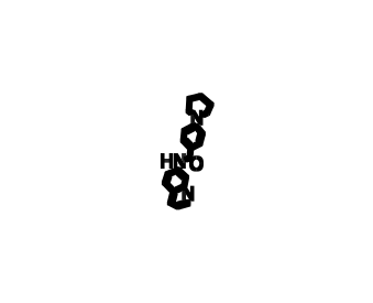 O=C(Nc1ccc2cccnc2c1)c1ccc(N2CCCCC2)cc1